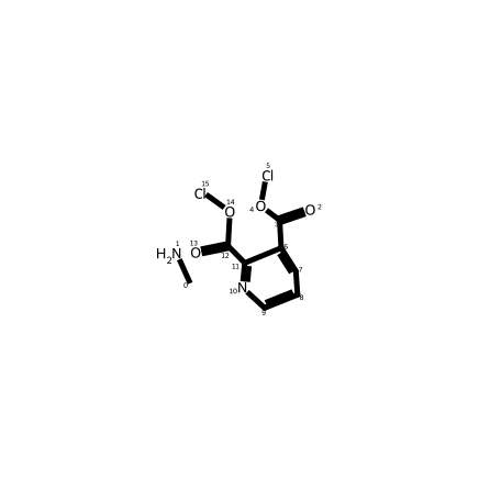 CN.O=C(OCl)c1cccnc1C(=O)OCl